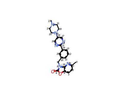 Cc1ccc2oc(=O)n(Cc3cccc(-c4ncc(N5CCN(C)CC5)cn4)c3)c2n1